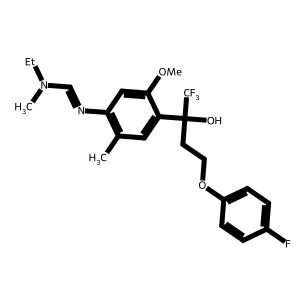 CCN(C)C=Nc1cc(OC)c(C(O)(CCOc2ccc(F)cc2)C(F)(F)F)cc1C